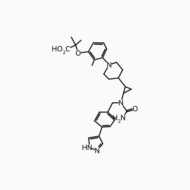 Cc1c(OC(C)(C)C(=O)O)cccc1N1CCC(C2CC2N(Cc2ccc(-c3cn[nH]c3)cc2)C(N)=O)CC1